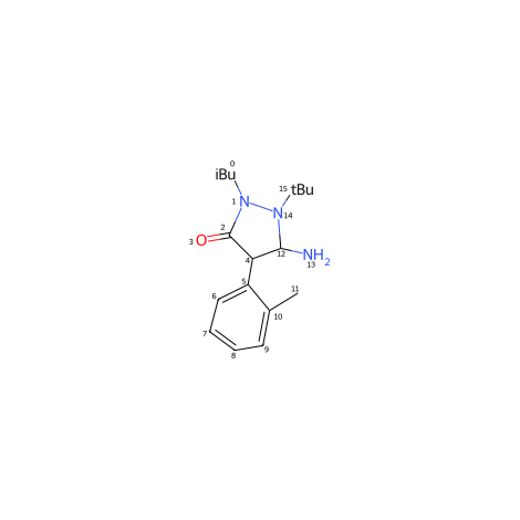 CCC(C)N1C(=O)C(c2ccccc2C)C(N)N1C(C)(C)C